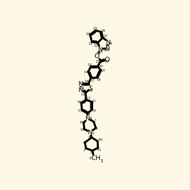 CC1CCC(N2CCN(c3ccc(-c4nnc(-c5ccc(C(=O)On6nnc7ccccc76)cc5)s4)cc3)CC2)CC1